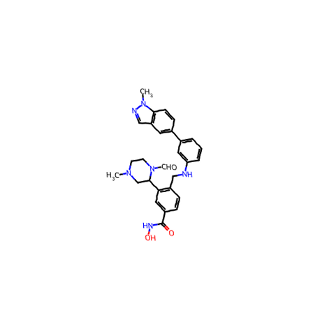 CN1CCN(C=O)C(c2cc(C(=O)NO)ccc2CNc2cccc(-c3ccc4c(cnn4C)c3)c2)C1